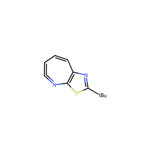 CC(C)(C)c1nc2c(s1)N=C=CC=C2